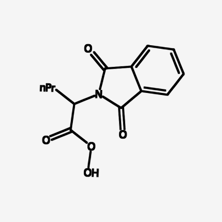 CCCC(C(=O)OO)N1C(=O)c2ccccc2C1=O